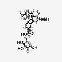 CC[C@]12CCCN3CCc4c(n(c5ccccc45)[C@@](O)(C(=O)OC)C1)[C@@H]32.O=P(O)(O)OC[C@H]1O[C@H](O)[C@H](O)[C@@H](O)[C@@H]1O.[NaH].[NaH]